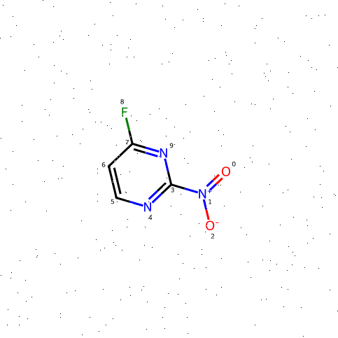 O=[N+]([O-])c1nccc(F)n1